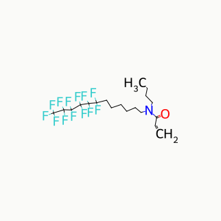 C=CC(=O)N(CCCC)CCCCCCC(F)(F)C(F)(F)C(F)(F)C(F)(F)C(F)(F)C(F)(F)F